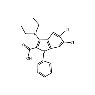 CCN(CC)c1c(C(=O)O)n(-c2ccccc2)c2cc(Cl)c(Cl)cc12